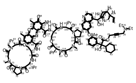 C=C[C@H]1C[N@]2CC[C@H]1C[C@@H]2[C@@H](O)c1ccnc2ccc(OC)cc12.CCN(CC)CC#CCOC(=O)C(O)(c1ccccc1)C1CCCCC1.Cc1c2oc3c(C)ccc(C(=O)N[C@@H]4C(=O)N[C@H](C(C)C)C(=O)N5CCC[C@H]5C(=O)N(C)CC(=O)N(C)[C@@H](C(C)C)C(=O)O[C@@H]4C)c3nc-2c(C(=O)N[C@@H]2C(=O)N[C@H](C(C)C)C(=O)N3CCC[C@H]3C(=O)N(C)CC(=O)N(C)[C@@H](C(C)C)C(=O)O[C@@H]2C)c(N)c1=O